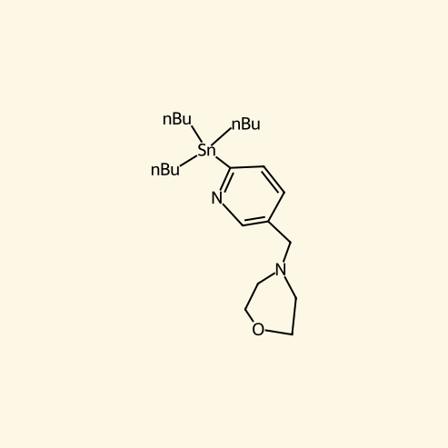 CCC[CH2][Sn]([CH2]CCC)([CH2]CCC)[c]1ccc(CN2CCOCC2)cn1